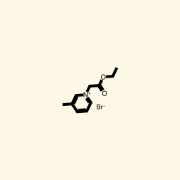 CCOC(=O)C[n+]1cccc(C)c1.[Br-]